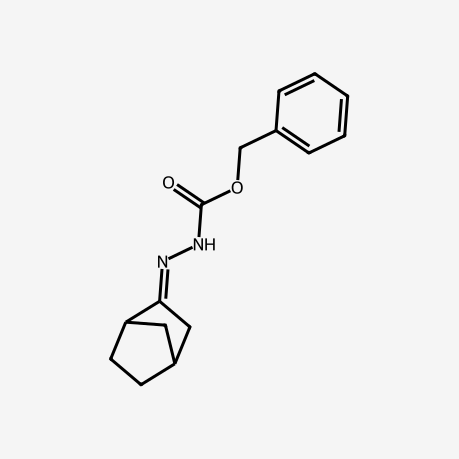 O=C(NN=C1CC2CCC1C2)OCc1ccccc1